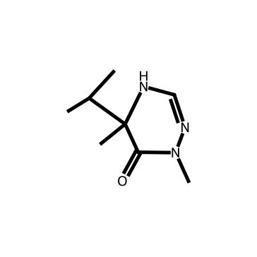 CC(C)C1(C)NC=NN(C)C1=O